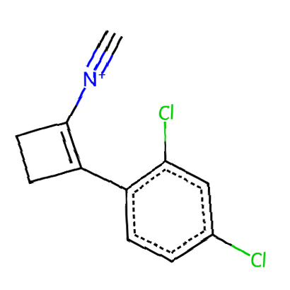 C#[N+]C1=C(c2ccc(Cl)cc2Cl)CC1